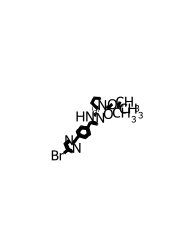 CC(C)(C)OC(=O)N1CCC[C@H]1c1ncc(-c2ccc(-c3ncc(Br)cn3)cc2)[nH]1